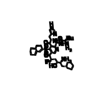 CC[C@H](C)[C@H](N)C(=O)NCc1ncc(C(=O)C(CC(O)[C@@H](N)CC2CCCCC2)C(C)C)c(S(=O)(=O)c2ccc3ccccc3c2)c1C(=O)[C@@H](N)Cc1c[nH]cn1